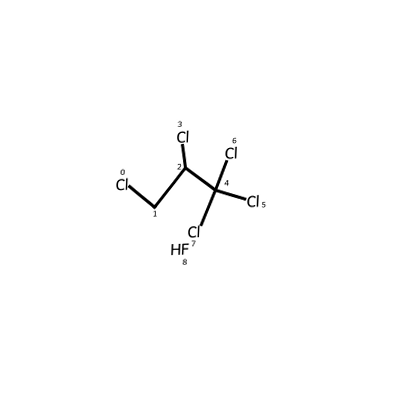 ClCC(Cl)C(Cl)(Cl)Cl.F